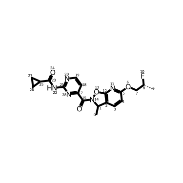 CC1c2ccc(OC[C@@H](C)F)nc2ON1C(=O)c1ccnc(NC(=O)C2CC2)n1